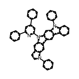 c1ccc(-c2cc(-c3ccccc3)nc(-n3c4cc5ccn(-c6ccccc6)c5cc4c4cc5c6ccccc6n(-c6ccccc6)c5cc43)c2)cc1